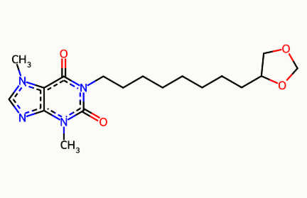 Cn1cnc2c1c(=O)n(CCCCCCCCC1COCO1)c(=O)n2C